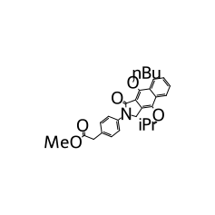 CCCCOc1c2c(c(OC(C)C)c3ccccc13)CN(c1ccc(CC(=O)OC)cc1)C2=O